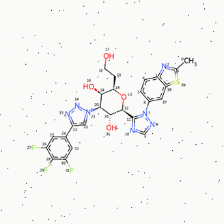 Cc1nc2ccc(-n3ncnc3[C@@H]3O[C@H](CCO)[C@H](O)[C@H](n4cc(-c5cc(F)c(F)c(F)c5)nn4)[C@H]3O)cc2s1